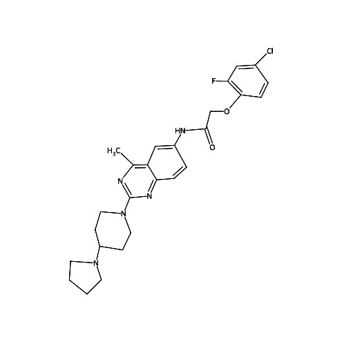 Cc1nc(N2CCC(N3CCCC3)CC2)nc2ccc(NC(=O)COc3ccc(Cl)cc3F)cc12